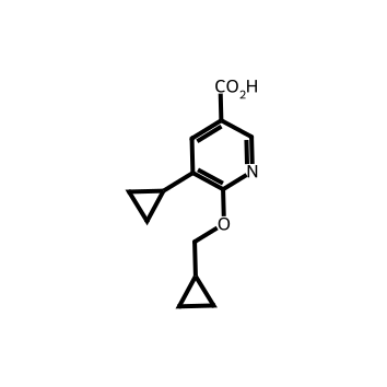 O=C(O)c1cnc(OCC2CC2)c(C2CC2)c1